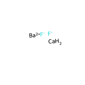 [Ba+2].[CaH2].[F-].[F-]